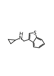 c1ccc2c(CNC3CC3)csc2c1